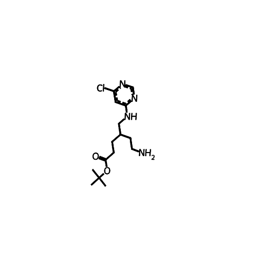 CC(C)(C)OC(=O)CCC(CCN)CNc1cc(Cl)ncn1